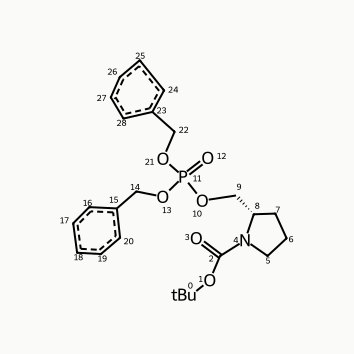 CC(C)(C)OC(=O)N1CCC[C@H]1COP(=O)(OCc1ccccc1)OCc1ccccc1